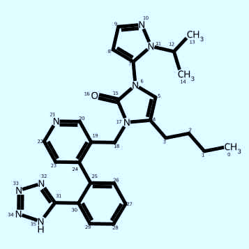 CCCCc1cn(-c2ccnn2C(C)C)c(=O)n1Cc1cnccc1-c1ccccc1-c1nnn[nH]1